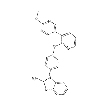 COc1ncc(-c2cccnc2Oc2ccc(N3c4ccccc4SC3N)cc2)cn1